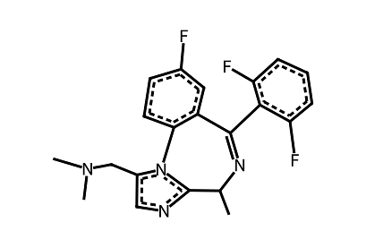 CC1N=C(c2c(F)cccc2F)c2cc(F)ccc2-n2c(CN(C)C)cnc21